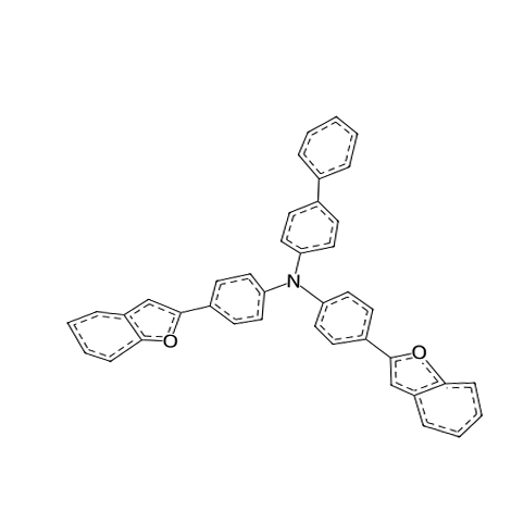 c1ccc(-c2ccc(N(c3ccc(-c4cc5ccccc5o4)cc3)c3ccc(-c4cc5ccccc5o4)cc3)cc2)cc1